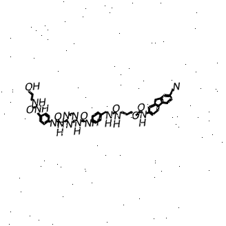 N#Cc1ccc2c(c1)Cc1cc(NC(=O)OCCCNC(=O)NCc3ccc(NC(=O)Nc4ncnc(NC(=O)Nc5ccc(CNC(=O)NCCCO)cc5)n4)cc3)ccc1-2